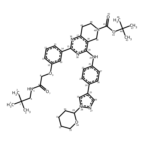 CC(C)(C)CNC(=O)COc1cccc(-c2nc3c(c(Nc4ccc(-c5cnn(C6CCCCO6)c5)cc4)n2)CN(C(=O)OC(C)(C)C)CC3)c1